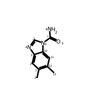 Cc1cc2n[c]n(C(N)=O)c2cc1C